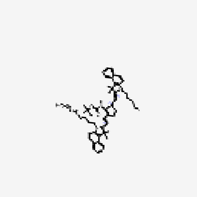 CCCCCN1/C(=C/C=C2\CCC(/C=C/C3=[N+](CCCCSOOO)c4ccc5ccccc5c4C3(C)C)=C2N(C)C(=O)OC(C)(C)C)C(C)(C)c2c1ccc1ccccc21